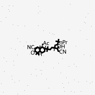 CCCC(C)(C)CC[C@@](C)(CCC(C)(C)[C@]1(C)CC[C@H]2C(C)(C)C(=O)C(C#N)=C[C@]2(C)[C@H]1CC(C)=O)C(O)CC#N